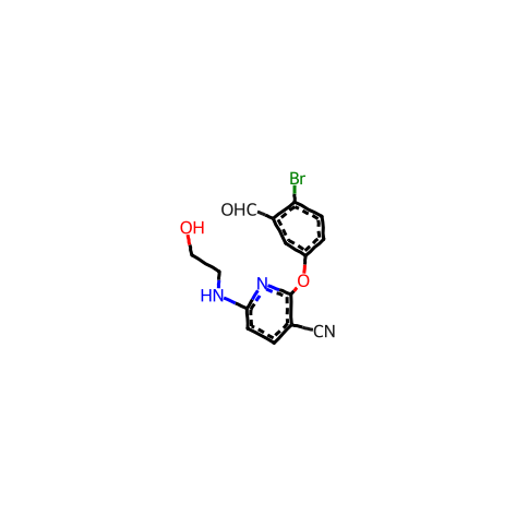 N#Cc1ccc(NCCO)nc1Oc1ccc(Br)c(C=O)c1